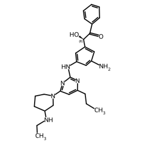 CCCc1cc(N2CCCC(NCC)C2)nc(Nc2cc(N)cc([C@@H](O)C(=O)c3ccccc3)c2)n1